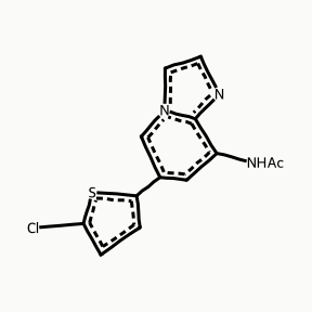 CC(=O)Nc1cc(-c2ccc(Cl)s2)cn2ccnc12